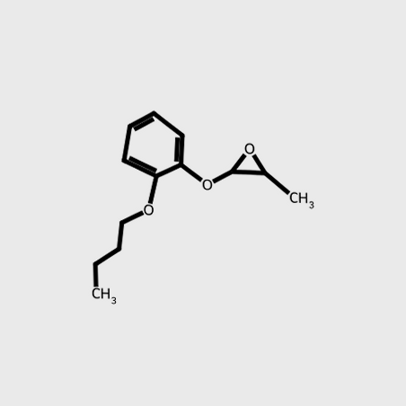 CCCCOc1ccccc1OC1OC1C